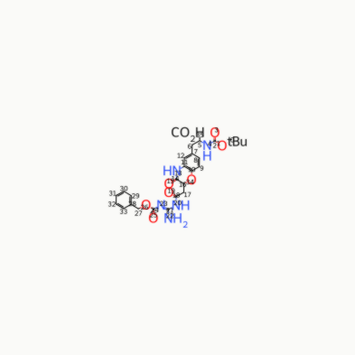 CC(C)(C)OC(=O)N[C@@H](Cc1ccc2c(c1)NC(=O)C(CC(=O)NC(N)=NC(=O)OCc1ccccc1)O2)C(=O)O